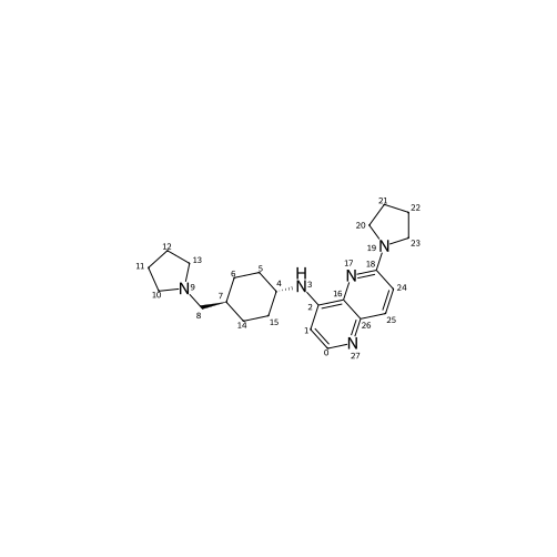 c1cc(N[C@H]2CC[C@H](CN3CCCC3)CC2)c2nc(N3CCCC3)ccc2n1